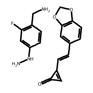 NCc1ccc(NN)cc1F.O=c1cc1C=Cc1ccc2c(c1)OCO2